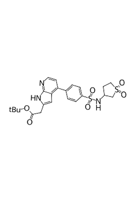 CC(C)(C)OC(=O)Cc1cc2c(-c3ccc(S(=O)(=O)NC4CCS(=O)(=O)C4)cc3)ccnc2[nH]1